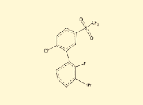 CC(C)c1cccc(-c2cc(S(=O)(=O)C(F)(F)F)ccc2Cl)c1F